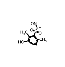 Cc1ccc(O)c(C)c1S(=O)(=O)NN=O